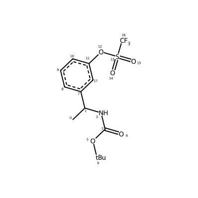 CC(NC(=O)OC(C)(C)C)c1cccc(OS(=O)(=O)C(F)(F)F)c1